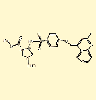 Cc1cc(COc2ccc(S(=O)(=O)N[C@@H]3CN(C=O)C[C@@H]3C(=O)OC(C)(C)C)cc2)c2ccccc2n1